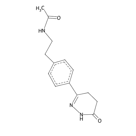 CC(=O)NCCc1ccc(C2=NNC(=O)CC2)cc1